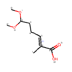 COC(CC/C=C(\C)C(=O)O)OC